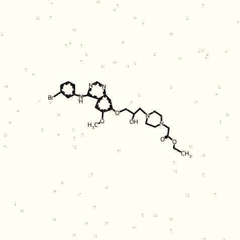 CCOC(=O)CN1CCN(CC(O)COc2cc3ncnc(Nc4cccc(Br)c4)c3cc2OC)CC1